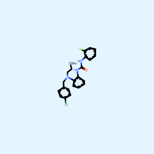 COCCN(Cc1ccc(Cl)cc1)c1ccccc1NC(=O)Nc1ccccc1F